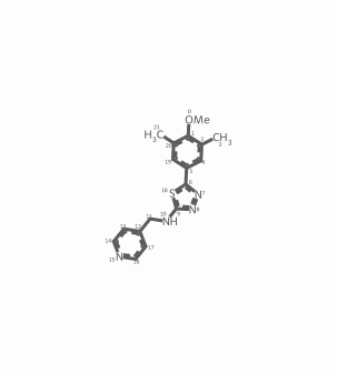 COc1c(C)cc(-c2nnc(NCc3ccncc3)s2)cc1C